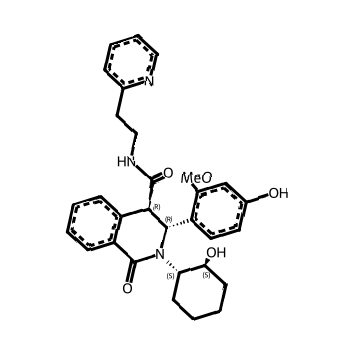 COc1cc(O)ccc1[C@H]1[C@H](C(=O)NCCc2ccccn2)c2ccccc2C(=O)N1[C@H]1CCCC[C@@H]1O